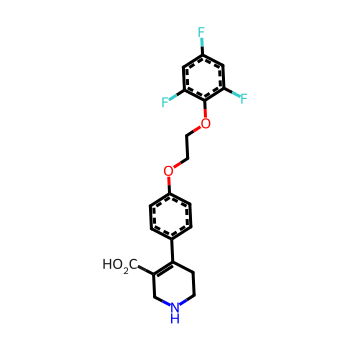 O=C(O)C1=C(c2ccc(OCCOc3c(F)cc(F)cc3F)cc2)CCNC1